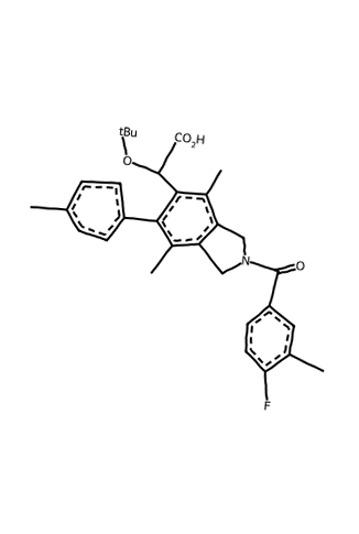 Cc1ccc(-c2c(C)c3c(c(C)c2C(OC(C)(C)C)C(=O)O)CN(C(=O)c2ccc(F)c(C)c2)C3)cc1